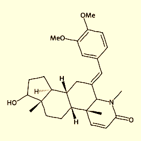 COc1ccc(C=C2C[C@@H]3[C@@H](CC[C@]4(C)C(O)CC[C@@H]34)[C@@]3(C)C=CC(=O)N(C)C23)cc1OC